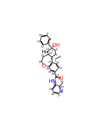 CC[C@@]12CC[C@](O)(c3ccccc3)C[C@@H]1CCOc1cc(C(=O)Nc3cccnc3C)ccc12